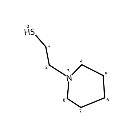 SCCN1CCCCC1